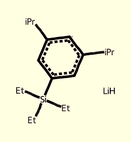 CC[Si](CC)(CC)c1cc(C(C)C)[c]c(C(C)C)c1.[LiH]